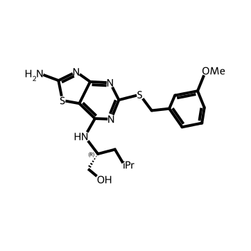 COc1cccc(CSc2nc(N[C@@H](CO)CC(C)C)c3sc(N)nc3n2)c1